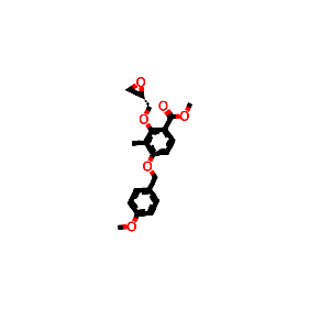 COC(=O)c1ccc(OCc2ccc(OC)cc2)c(C)c1OC[C@@H]1CO1